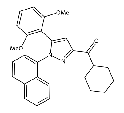 COc1cccc(OC)c1-c1cc(C(=O)C2CCCCC2)nn1-c1cccc2ccccc12